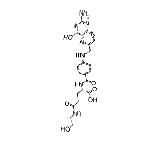 Nc1nc(O)c2nc(CNc3ccc(C(=O)N[C@H](CCC(=O)NCCO)C(=O)O)cc3)cnc2n1